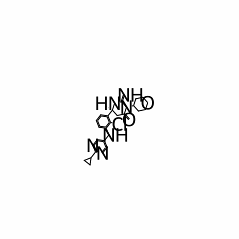 C[C@@]1(c2cccc(Nc3cnc(C4CC4)nc3)c2Cl)CC(=O)N(C2CCOCC2)C(=N)N1